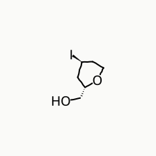 OC[C@@H]1C[C@@H](I)CCO1